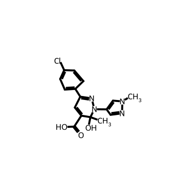 Cn1cc(N2N=C(c3ccc(Cl)cc3)C=C(C(=O)O)C2(C)O)cn1